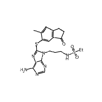 CCS(=O)(=O)NCCCn1c(Sc2cc3c(cc2C)CCC3=O)nc2c(N)ncnc21